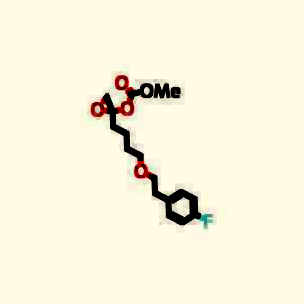 COC(=O)OC1(CCCCOCCc2ccc(F)cc2)CO1